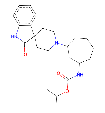 CC(C)OC(=O)NC1CCCCC(N2CCC3(CC2)C(=O)Nc2ccccc23)C1